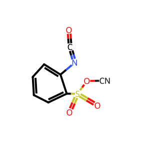 N#COS(=O)(=O)c1ccccc1N=C=O